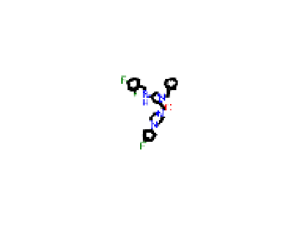 O=C(C1CC(NCc2ccc(F)cc2F)CN1Cc1ccccc1)N1CCN(c2ccc(F)cc2)CC1